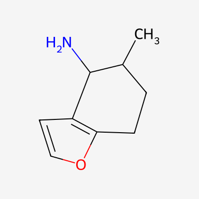 CC1CCc2occc2C1N